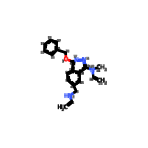 C=CNCc1ccc2c(OCc3ccccc3)nnc(N(C)C=C)c2c1